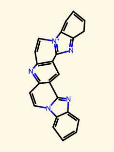 C1=CCc2nc3c4cc5c(ccn6c7ccccc7nc56)nc4cc[n+]3c2=C1